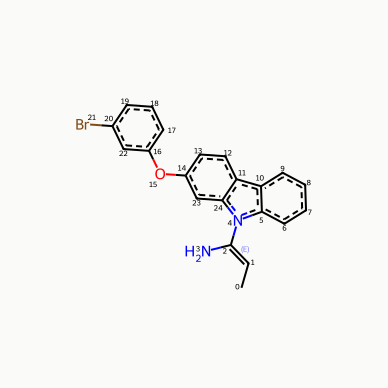 C/C=C(\N)n1c2ccccc2c2ccc(Oc3cccc(Br)c3)cc21